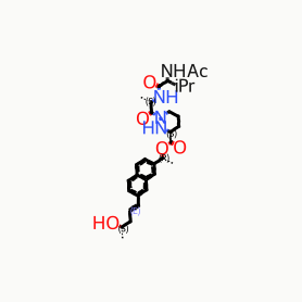 CC(=O)NC(C(=O)N[C@@H](C)C(=O)N1CCC[C@@H](C(=O)O[C@H](C)c2ccc3ccc(/C=C/C[C@H](C)O)cc3c2)N1)C(C)C